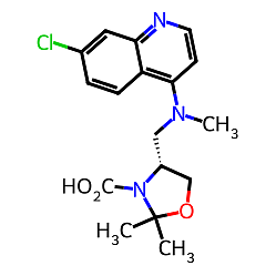 CN(C[C@@H]1COC(C)(C)N1C(=O)O)c1ccnc2cc(Cl)ccc12